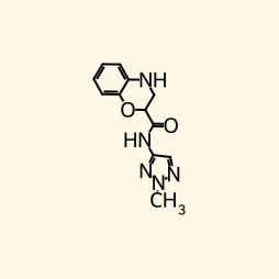 Cn1ncc(NC(=O)C2CNc3ccccc3O2)n1